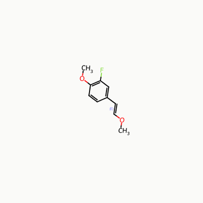 CO/C=C/c1ccc(OC)c(F)c1